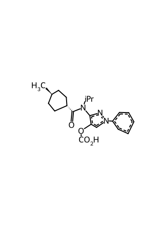 CC(C)N(c1nn(-c2ccccc2)cc1OC(=O)O)C(=O)[C@H]1CC[C@H](C)CC1